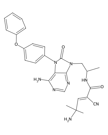 CC(Cn1c(=O)n(-c2ccc(Oc3ccccc3)cc2)c2c(N)ncnc21)NC(=O)C(C#N)=CC(C)(C)N